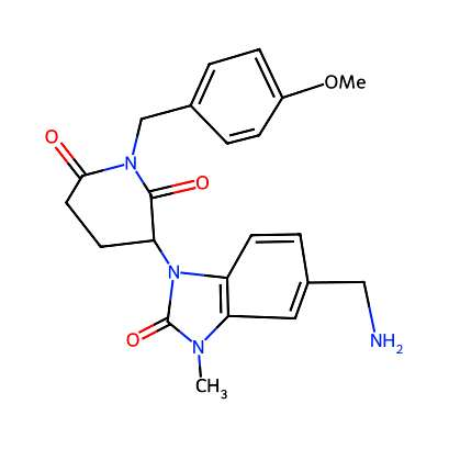 COc1ccc(CN2C(=O)CCC(n3c(=O)n(C)c4cc(CN)ccc43)C2=O)cc1